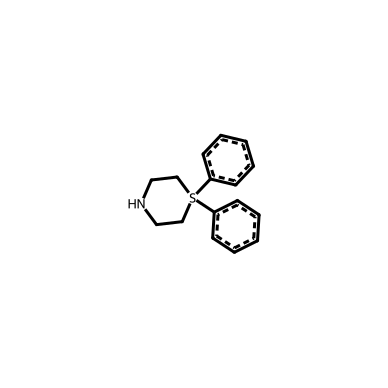 c1ccc(S2(c3ccccc3)CCNCC2)cc1